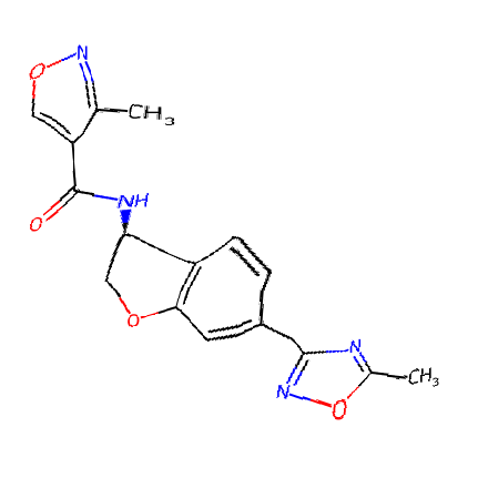 Cc1nc(-c2ccc3c(c2)OC[C@H]3NC(=O)c2conc2C)no1